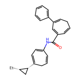 CC[C@H]1C[C@H]1C1=CC=C(NC(=O)C2=CC(c3ccccc3)=CCC=C2)C=CC1